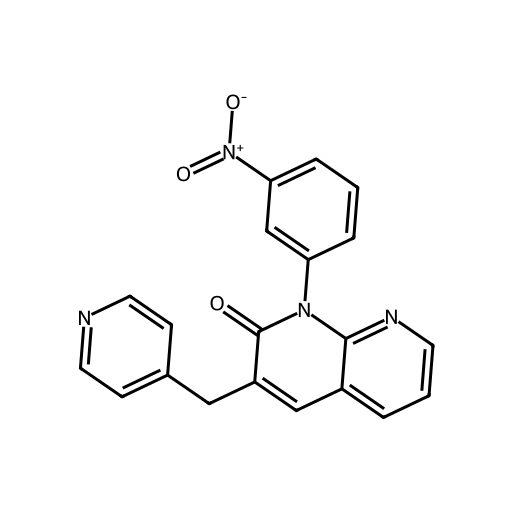 O=c1c(Cc2ccncc2)cc2cccnc2n1-c1cccc([N+](=O)[O-])c1